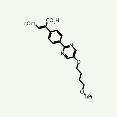 CCCCCCCCC=C(C(=O)O)c1ccc(-c2ncc(OCCCCOCCC)cn2)cc1